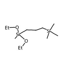 CCO[Si](C)(CCC[Si](C)(C)C)OCC